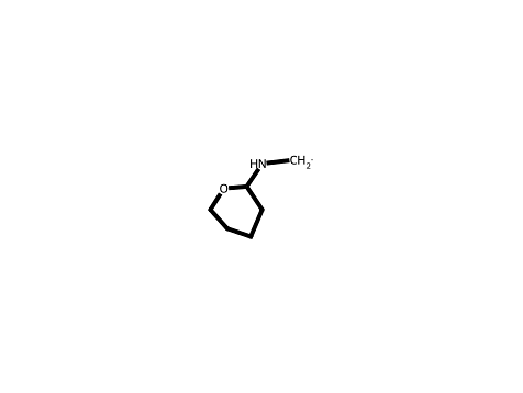 [CH2]NC1CCCCO1